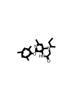 CCC(C)N1CC(=O)Nc2c1cc(C)nc2Oc1c(C)cc(C)cc1C